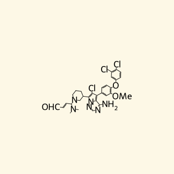 COc1cc(-c2c(Cl)c(C3CCCN(C(C=CC=O)N(C)C)C3)n3ncnc(N)c23)ccc1Oc1ccc(Cl)c(Cl)c1